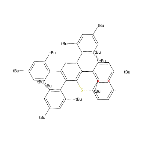 CC(C)(C)c1cc(C(C)(C)C)c(-c2[c]c(-c3c(C(C)(C)C)cc(C(C)(C)C)cc3C(C)(C)C)c(-c3c(C(C)(C)C)cc(C(C)(C)C)cc3C(C)(C)C)c(Sc3cc[c]cc3)c2-c2c(C(C)(C)C)cc(C(C)(C)C)cc2C(C)(C)C)c(C(C)(C)C)c1